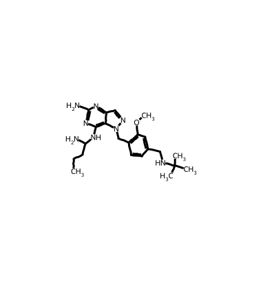 CCCC(N)Nc1nc(N)nc2cnn(Cc3ccc(CNC(C)(C)C)cc3OC)c12